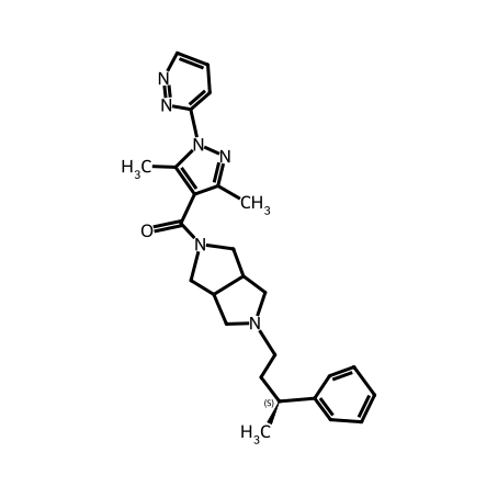 Cc1nn(-c2cccnn2)c(C)c1C(=O)N1CC2CN(CC[C@H](C)c3ccccc3)CC2C1